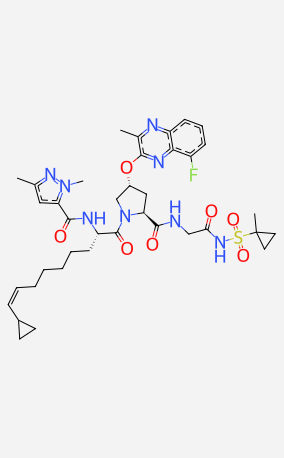 Cc1cc(C(=O)N[C@@H](CCCCC/C=C\C2CC2)C(=O)N2C[C@H](Oc3nc4c(F)cccc4nc3C)C[C@H]2C(=O)NCC(=O)NS(=O)(=O)C2(C)CC2)n(C)n1